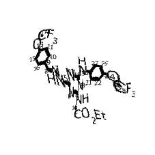 CCOC(=O)CNc1nc(N/N=C/c2ccc(OC(F)(F)F)cc2)nc(Nc2ccc(OC(F)(F)F)cc2)n1